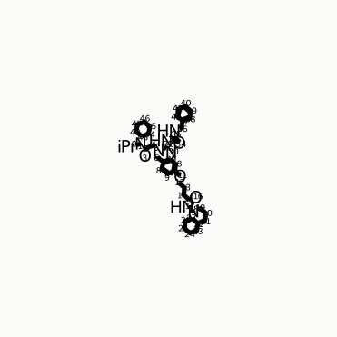 CC(C)N(C(=O)CN1Cc2ccc(OCCCC(=O)NN3CCCC4CCCCC43)cc2N=C1NC(=O)NCc1ccccc1)C1CCCCC1